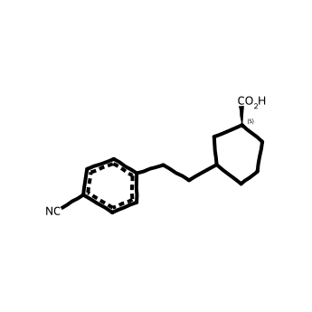 N#Cc1ccc(CCC2CCC[C@H](C(=O)O)C2)cc1